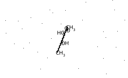 CCCCCCCCC(O)/C=C/C=C/C=C/C(O)CCC(=O)OC